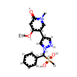 CCOc1cc(=O)n(C)cc1-c1cnn(C(c2ccccc2)S(C)(=O)=O)c1